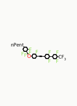 CCCCCc1cc(F)c(C(F)(F)Oc2ccc(C#Cc3cc(F)c(-c4cc(F)c(C(F)(F)F)c(F)c4)c(F)c3)c(F)c2)c(F)c1